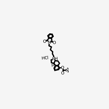 CN(C)C(=O)Oc1cccc2c1CC[C@@H]1[C@H]2CCN1CCCCCCN1C(=O)c2ccccc2C1=O.Cl